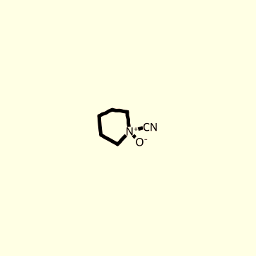 N#C[N+]1([O-])CCCCC1